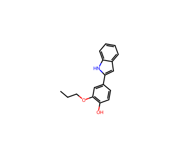 CCCOc1cc(-c2cc3ccccc3[nH]2)ccc1O